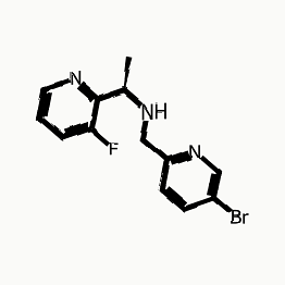 C[C@@H](NCc1ccc(Br)cn1)c1ncccc1F